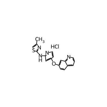 Cc1csc(Nc2cc(Oc3ccc4cccnc4c3)ccn2)n1.Cl